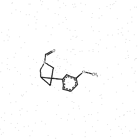 COc1cccc(C23CC2CN(C=O)C3)c1